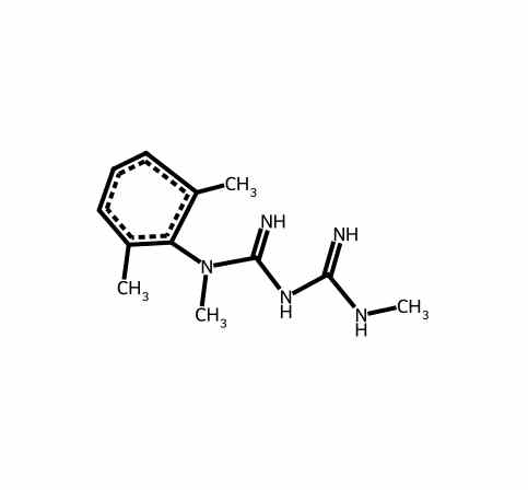 CNC(=N)NC(=N)N(C)c1c(C)cccc1C